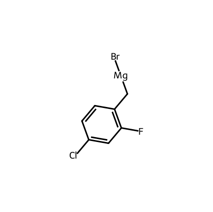 Fc1cc(Cl)ccc1[CH2][Mg][Br]